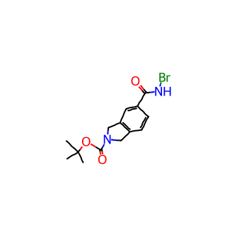 CC(C)(C)OC(=O)N1Cc2ccc(C(=O)NBr)cc2C1